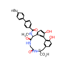 CCCCc1ccc(-c2ccc(C(=O)N(C)C3C(=O)NCC(=O)N[C@H](C(=O)O)Cc4ccc(O)c(c4)-c4cc3ccc4O)cc2)cc1